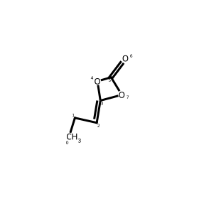 CCC=C1OC(=O)O1